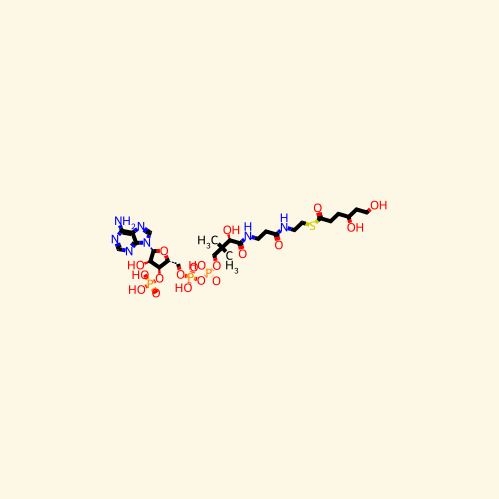 CC(C)(COP(=O)(O)OP(=O)(O)OC[C@H]1O[C@@H](n2cnc3c(N)ncnc32)[C@H](O)[C@@H]1OP(=O)(O)O)[C@@H](O)C(=O)NCCC(=O)NCCSC(=O)CCC(O)CCO